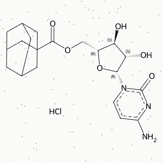 Cl.Nc1ccn([C@@H]2O[C@H](COC(=O)C34CC5CC(CC(C5)C3)C4)[C@@H](O)[C@@H]2O)c(=O)n1